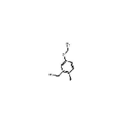 OCc1cc(OCC(F)(F)F)ccc1F